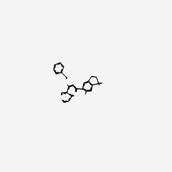 Cc1cc2c(cc1-c1cc(OCc3ccccc3)c3cnccc3n1)CCC2(C)C